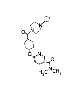 CN(C)C(=O)c1ccc(OC2CCC(C(=O)N3CCN(C4CCC4)CC3)CC2)nc1